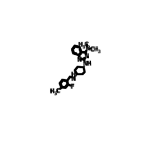 Cc1ccc(CN[C@H]2CC[C@@H](Nc3nc(N(C)C)c4ccccc4n3)CC2)c(F)c1